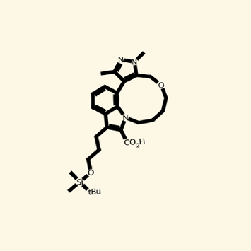 Cc1nn(C)c2c1-c1cccc3c(CCCO[Si](C)(C)C(C)(C)C)c(C(=O)O)n(c13)CCCCOC2